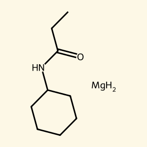 CCC(=O)NC1CCCCC1.[MgH2]